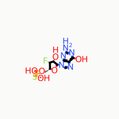 Nc1nc(O)c2ncn(C3O[C@H](COP(O)(O)=S)[C@H](F)[C@@H]3O)c2n1